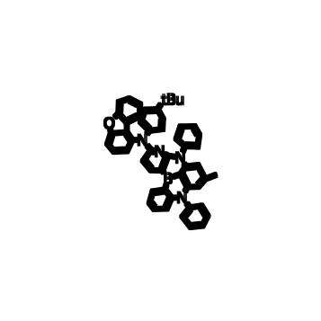 Cc1cc2c3c(c1)N(c1ccccc1)c1nc(N(c4ccc(C(C)(C)C)cc4)c4cccc5oc6ccccc6c45)ccc1B3c1ccccc1N2c1ccccc1